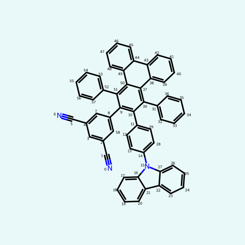 N#Cc1cc(C#N)cc(-c2c(-c3ccc(-n4c5ccccc5c5ccccc54)cc3)c(-c3ccccc3)c3c4ccccc4c4ccccc4c3c2-c2ccccc2)c1